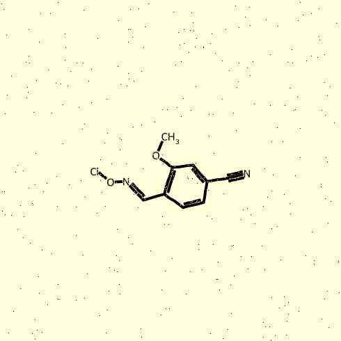 COc1cc(C#N)ccc1/C=N/OCl